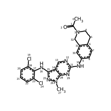 CC(=O)N1CCc2ccc(Nc3ncc4c(Nc5c(Cl)cccc5Cl)nn(C)c4n3)cc2C1